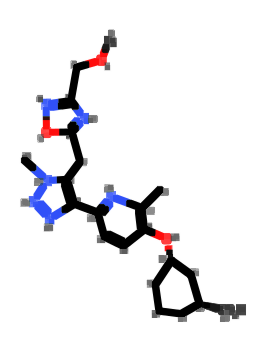 CCOCc1noc(Cc2c(-c3ccc(O[C@H]4CCC[C@H](C(=O)O)C4)c(C)n3)nnn2C)n1